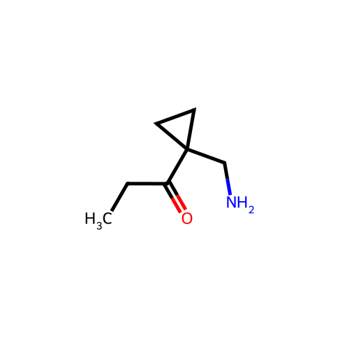 CCC(=O)C1(CN)CC1